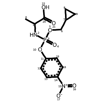 CC(NP(=O)(OCC1CC1)Oc1ccc([N+](=O)[O-])cc1)C(=O)O